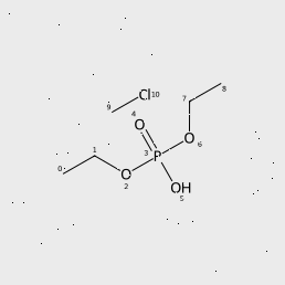 CCOP(=O)(O)OCC.CCl